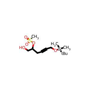 CC(C)(C)[Si](C)(C)OCC#CCC(CO)OS(C)(=O)=O